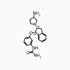 NC(=O)Nc1cccc(O[C@@H]2c3ccccc3C[C@H]2N2CCC(N)C2)c1